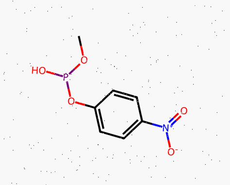 COP(O)Oc1ccc([N+](=O)[O-])cc1